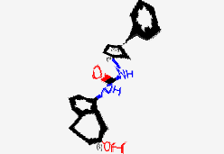 O=C(Nc1cccc2c1C[C@H](O)CC2)N[C@H]1CC[C@H](c2ccccc2)C1